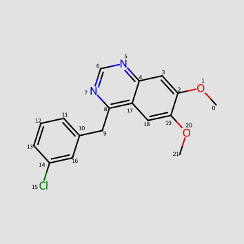 COc1cc2ncnc(Cc3cccc(Cl)c3)c2cc1OC